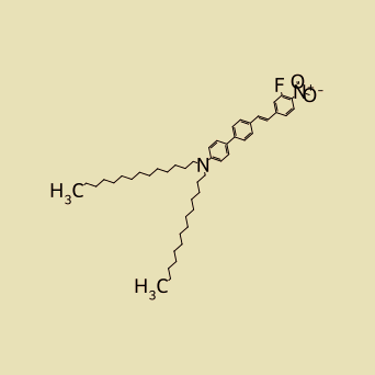 CCCCCCCCCCCCCCN(CCCCCCCCCCCCCC)c1ccc(-c2ccc(C=Cc3ccc([N+](=O)[O-])c(F)c3)cc2)cc1